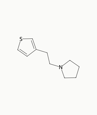 c1cc(CCN2CCCC2)cs1